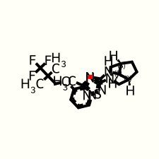 Cc1nsc(N2C[C@H]3CC[C@@H](C2)[C@@H]3Nc2nc3c(OCC(C)(C)C(F)(F)F)cccn3n2)n1